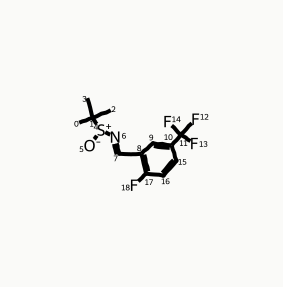 CC(C)(C)[S+]([O-])N=Cc1cc(C(F)(F)F)ccc1F